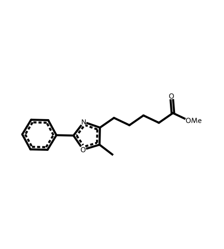 COC(=O)CCCCc1nc(-c2ccccc2)oc1C